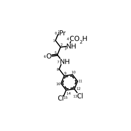 CC(C)CC(NC(=O)O)C(=O)NCc1ccc(Cl)c(Cl)c1